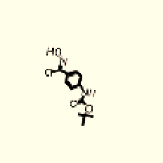 CC(C)(C)OC(=O)Nc1ccc(C(Cl)=NO)cc1